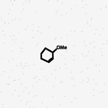 COC1C=CCCC1